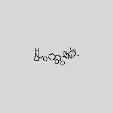 Cc1cn2cc(-c3cc4ccc(OC[C@H]5CCCN5)cc4oc3=O)nc2c(C)n1